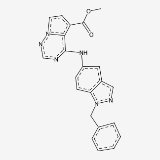 COC(=O)c1ccn2ncnc(Nc3ccc4c(cnn4Cc4ccccc4)c3)c12